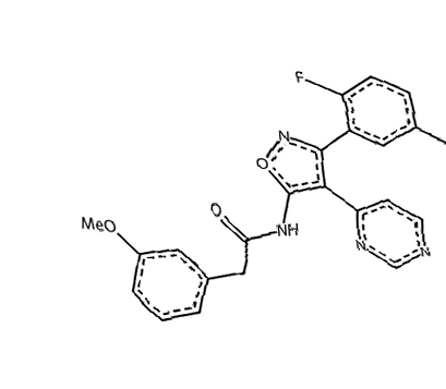 COc1cccc(CC(=O)Nc2onc(-c3cc(C)ccc3F)c2-c2ccncn2)c1